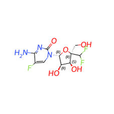 Nc1nc(=O)n([C@@H]2O[C@@](CO)(C(F)F)[C@@H](O)[C@H]2O)cc1F